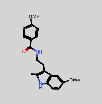 COc1ccc(C(=O)NCCc2c(C)[nH]c3ccc(OC)cc23)cc1